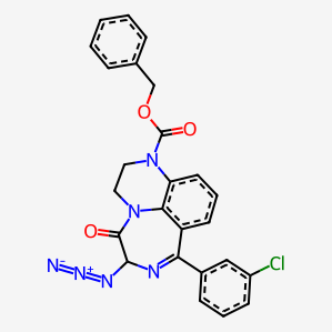 [N-]=[N+]=NC1N=C(c2cccc(Cl)c2)c2cccc3c2N(CCN3C(=O)OCc2ccccc2)C1=O